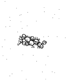 CC(C)OC1C2(C(C)(C)C)OC2C2OC23C2(C)CCC4=C(COC4=O)C2CC2OC213